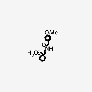 C=C=CC1(CCNC(=O)Cc2ccc(OC)cc2)CCCCC1